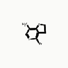 Cc1cnc(C(C)C)c2c1OCC2